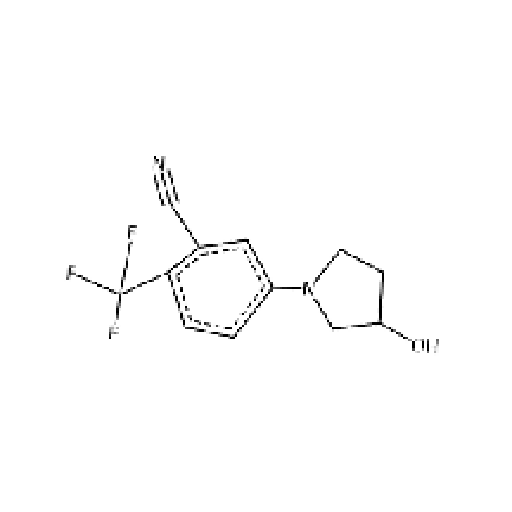 N#Cc1cc(N2CCC(O)C2)ccc1C(F)(F)F